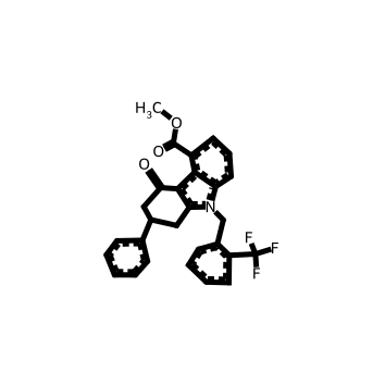 COC(=O)c1cccc2c1c1c(n2Cc2ccccc2C(F)(F)F)CC(c2ccccc2)CC1=O